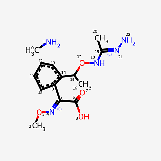 CN.CO/N=C(/C(=O)O)c1ccccc1C(C)ON/C(C)=N/N